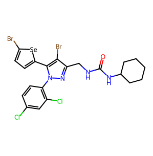 O=C(NCc1nn(-c2ccc(Cl)cc2Cl)c(-c2ccc(Br)[se]2)c1Br)NC1CCCCC1